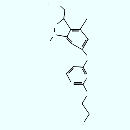 Cc1cc(Oc2ccnc(NCCN)n2)cc2c1C(CC(=O)O)OB2O.Cl